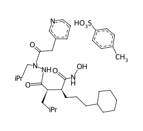 CC(C)C[C@@H](C(=O)NN(CC(C)C)C(=O)Cc1cccnc1)[C@H](CCCC1CCCCC1)C(=O)NO.Cc1ccc(S(=O)(=O)O)cc1